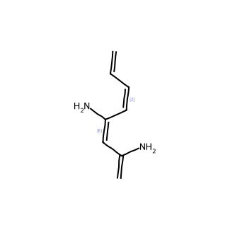 C=C/C=C\C(N)=C/C(=C)N